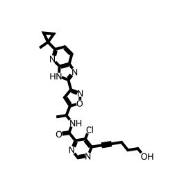 CC(NC(=O)c1ncnc(C#CCCCO)c1Cl)c1cc(-c2nc3ccc(C4(C)CC4)nc3[nH]2)no1